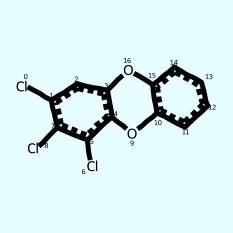 Clc1cc2c(c(Cl)c1Cl)Oc1ccccc1O2